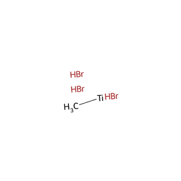 Br.Br.Br.[CH3][Ti]